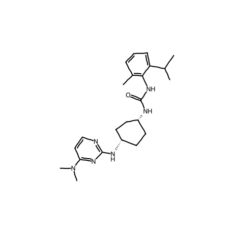 Cc1cccc(C(C)C)c1NC(=O)N[C@H]1CC[C@@H](Nc2nccc(N(C)C)n2)CC1